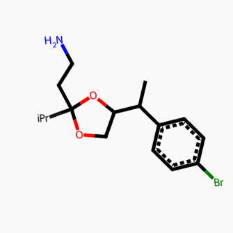 CC(c1ccc(Br)cc1)C1COC(CCN)(C(C)C)O1